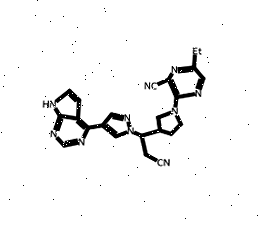 CCc1cnc(N2CCC(C(CC#N)n3cc(-c4ncnc5[nH]ccc45)cn3)C2)c(C#N)n1